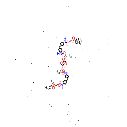 C=C(C)C(=O)OCCOC(=O)Nc1ccc(Cc2ccc(NC(=O)OC(C)COC3COC4C(OCC(C)OC(=O)Nc5ccc(Cc6ccc(NC(=O)OCCOC(=O)C(=C)C)cc6)cc5)COC34)cc2)cc1